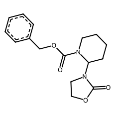 O=C1OCCN1C1CCCCN1C(=O)OCc1ccccc1